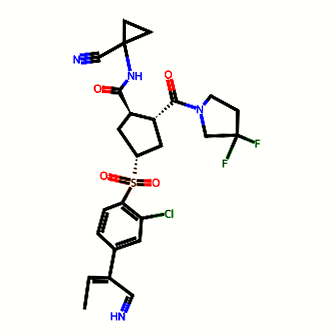 C/C=C(\C=N)c1ccc(S(=O)(=O)[C@@H]2C[C@@H](C(=O)NC3(C#N)CC3)[C@H](C(=O)N3CCC(F)(F)C3)C2)c(Cl)c1